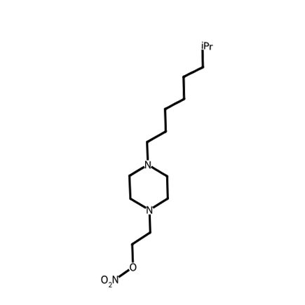 CC(C)CCCCCCN1CCN(CCO[N+](=O)[O-])CC1